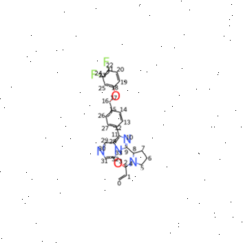 C=CC(=O)N1CCCC1c1nc(-c2ccc(COc3ccc(F)c(F)c3)cc2)c2cnccn12